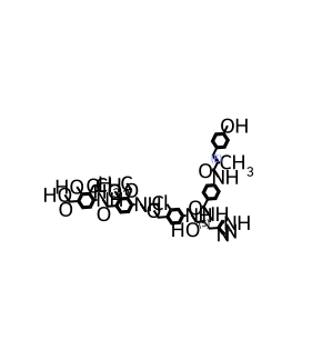 COc1c(NC(=O)c2ccc(NCOCc3ccc(NC(O)[C@H](Cc4c[nH]nn4)NC(=O)c4ccc(NC(=O)/C(C)=C/c5ccc(O)cc5)cc4)cc3Cl)c(OC)c2O)ccc(C(=O)O)c1O